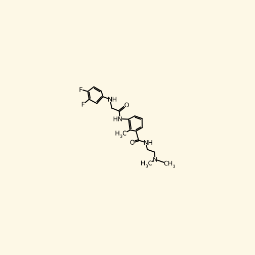 Cc1c(NC(=O)CNc2ccc(F)c(F)c2)cccc1C(=O)NCCN(C)C